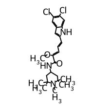 COC(=CC=Cc1cc2cc(Cl)c(Cl)cc2[nH]1)C(=O)NC1CC(C)(C)N(C)C(C)(C)C1